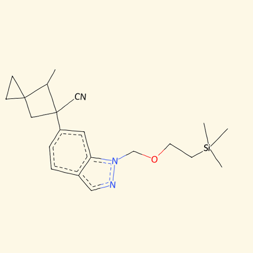 CC1C2(CC2)CC1(C#N)c1ccc2cnn(COCC[Si](C)(C)C)c2c1